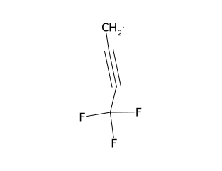 [CH2]C#CC(F)(F)F